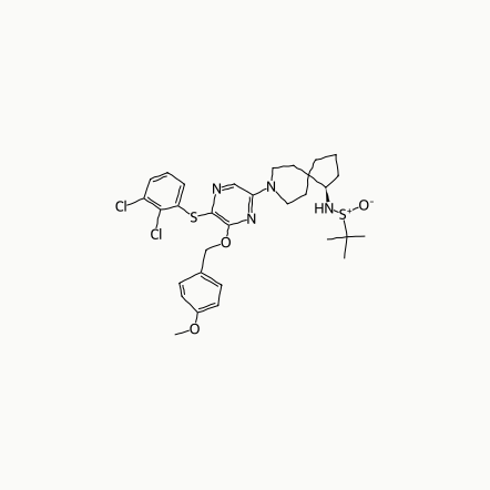 COc1ccc(COc2nc(N3CCC4(CCC[C@H]4N[S+]([O-])C(C)(C)C)CC3)cnc2Sc2cccc(Cl)c2Cl)cc1